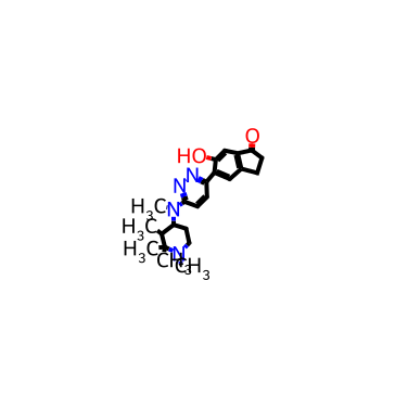 CC1C(N(C)c2ccc(-c3cc4c(cc3O)C(=O)CC4)nn2)CCN(C)C1(C)C